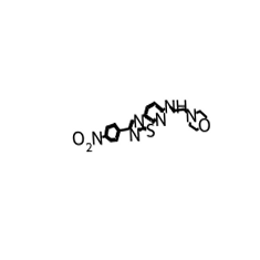 O=[N+]([O-])c1ccc(-c2cn3c(n2)sc2nc(NCCN4CCOCC4)ccc23)cc1